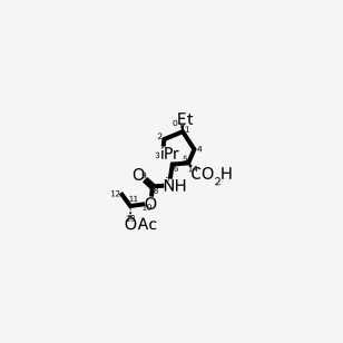 CC[C@H](CC(C)C)C[C@@H](CNC(=O)O[C@@H](C)OC(C)=O)C(=O)O